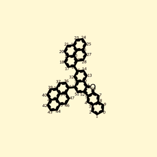 c1ccc2cc3c(cc2c1)oc1c2ccc(-c4ccc5ccc6cccc7ccc4c5c67)cc2c(-c2ccc4ccc5cccc6ccc2c4c56)cc31